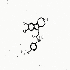 COc1ccc(NC(=O)Cn2c3c(c4cc(Cl)c(Cl)cc42)CCNCC3)cc1.Cl